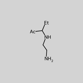 CCC(NCCN)C(C)=O